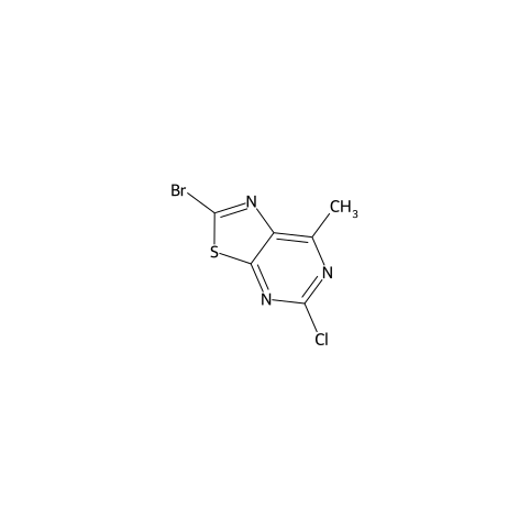 Cc1nc(Cl)nc2sc(Br)nc12